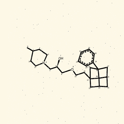 CC1CCN(C[C@@H](O)COCCC23CC4CC5CC(c6ccccc6)(C2)C453)CC1